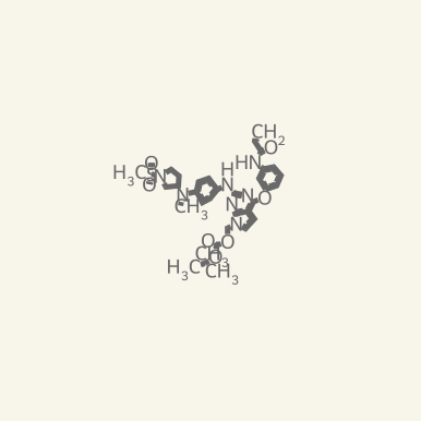 C=CC(=O)Nc1cccc(Oc2nc(Nc3ccc(N(C)[C@H]4CCN(S(C)(=O)=O)C4)cc3)nc3c2ccn3COC(=O)OC(C)(C)C)c1